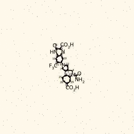 NC(=O)N(Cc1ccn(-c2cc3nc(C(=O)O)c(=O)[nH]c3cc2C(F)(F)F)c1)c1cccc(C(=O)O)c1